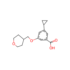 O=C(O)c1cc(OCC2CCOCC2)cc(C2CC2)c1